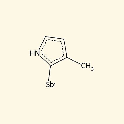 Cc1cc[nH][c]1[Sb]